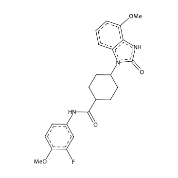 COc1ccc(NC(=O)C2CCC(n3c(=O)[nH]c4c(OC)cccc43)CC2)cc1F